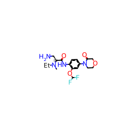 CCN(C)[C@@H](CN)C(=O)Nc1ccc(N2CCOCC2=O)cc1OC(F)F